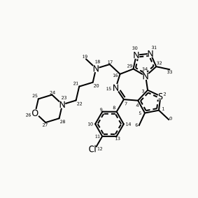 Cc1sc2c(c1C)C(c1ccc(Cl)cc1)=NC(CN(C)CCCN1CCOCC1)c1nnc(C)n1-2